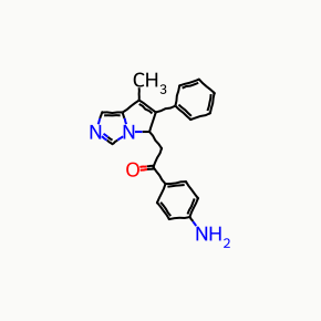 CC1=C(c2ccccc2)C(CC(=O)c2ccc(N)cc2)n2cncc21